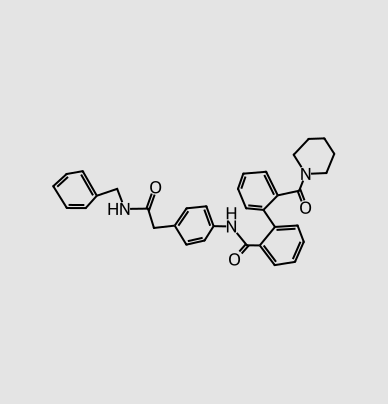 O=C(Cc1ccc(NC(=O)c2ccccc2-c2ccccc2C(=O)N2CCCCC2)cc1)NCc1ccccc1